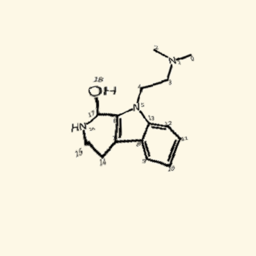 CN(C)CCn1c2c(c3ccccc31)CCNC2O